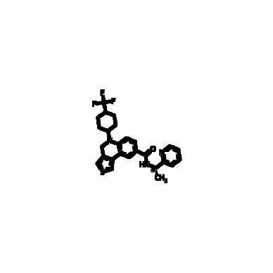 C[C@H](NC(=O)c1ccc2c(c1)-c1cscc1CN2C1CCC(C(F)(F)F)CC1)c1ccccn1